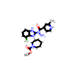 Cc1cc(C(=O)N(N)C2Nc3cccc(Cl)c3N2[C@@H]2CCCCN(C(=O)OC(C)(C)C)C2)ccn1